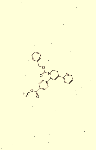 COC(=O)c1ccc(C2C=C(c3ccccn3)CCN2C(=O)OCc2ccccc2)cc1